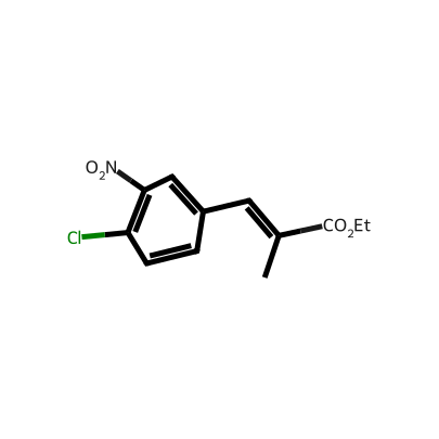 CCOC(=O)C(C)=Cc1ccc(Cl)c([N+](=O)[O-])c1